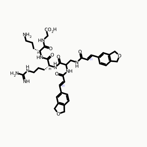 N=C(N)NCCC[C@@H](NC(=O)C(CNC(=O)/C=C/c1ccc2c(c1)COC2)NC(=O)/C=C/c1ccc2c(c1)COC2)C(=O)N[C@H](CCCN)C(=O)NCC(=O)O